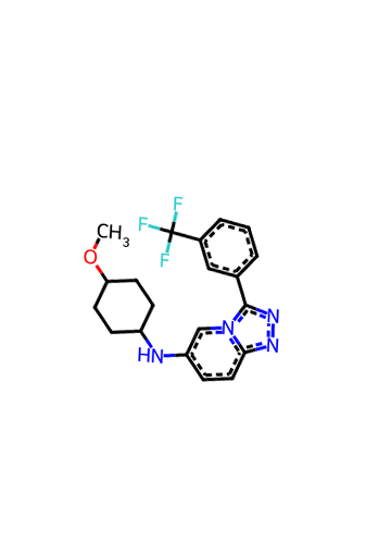 COC1CCC(Nc2ccc3nnc(-c4cccc(C(F)(F)F)c4)n3c2)CC1